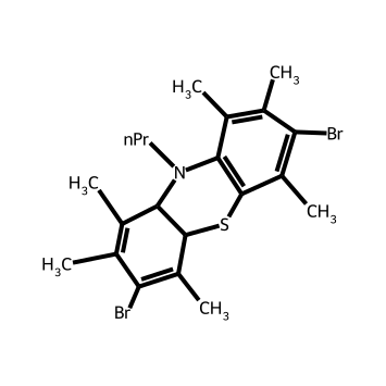 CCCN1c2c(C)c(C)c(Br)c(C)c2SC2C(C)=C(Br)C(C)=C(C)C21